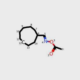 CC(=O)ON=CC1CCCCCCCC1